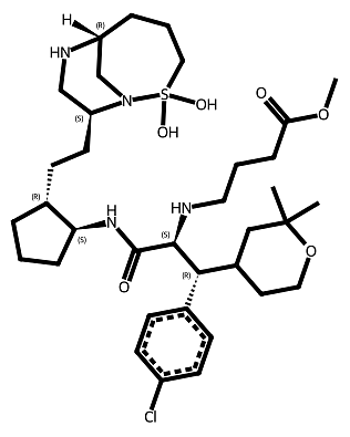 COC(=O)CCCN[C@H](C(=O)N[C@H]1CCC[C@@H]1CC[C@H]1CN[C@@H]2CCCS(O)(O)N1C2)[C@@H](c1ccc(Cl)cc1)C1CCOC(C)(C)C1